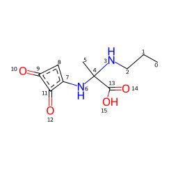 CCCNC(C)(Nc1cc(=O)c1=O)C(=O)O